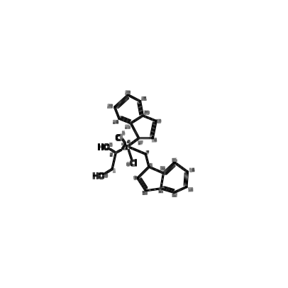 OC[CH](O)[Zr]([Cl])([Cl])([CH2]C1C=Cc2ccccc21)[CH]1C=Cc2ccccc21